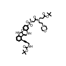 CN(CC(=O)N(CCC(=O)OC(C)(C)C)CCN1CCOCC1)S(=O)(=O)c1cccc(N/C=C2\C(=O)Nc3cccc(C#CCNC(=O)OC(C)(C)C)c32)c1